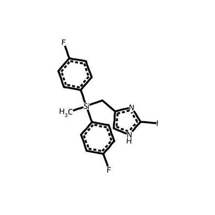 C[Si](Cc1c[nH]c(I)n1)(c1ccc(F)cc1)c1ccc(F)cc1